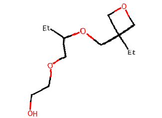 CCC(COCCO)OCC1(CC)COC1